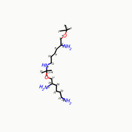 CC(C)(C)OCC(N)CCCCNC(C)(C)OCC(N)CCCCN